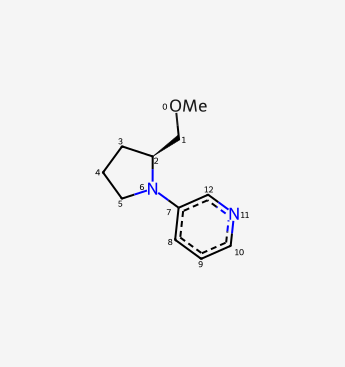 COC[C@@H]1CCCN1c1cccnc1